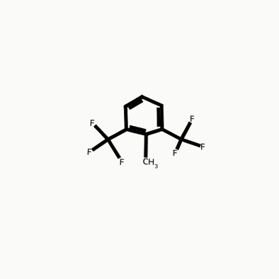 Cc1c(C(F)(F)F)c[c]cc1C(F)(F)F